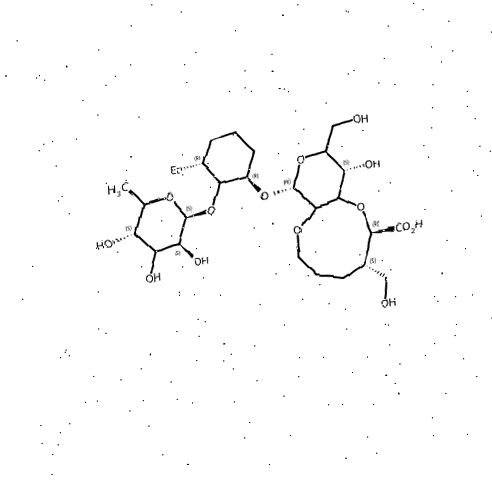 CC[C@@H]1CCC[C@@H](O[C@@H]2OC(CO)[C@H](O)C3O[C@@H](C(=O)O)[C@H](CO)CCCOC32)C1O[C@@H]1OC(C)[C@@H](O)C(O)[C@@H]1O